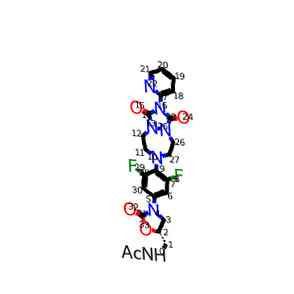 CC(=O)NC[C@H]1CN(c2cc(F)c(N3CCn4c(=O)n(-c5ccccn5)c(=O)n4CC3)c(F)c2)C(=O)O1